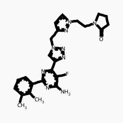 Cc1cccc(-c2nc(N)c(F)c(-c3cn(Cc4ccn(CCN5CCCC5=O)n4)nn3)n2)c1C